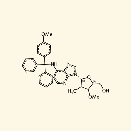 COc1ccc(C(Nc2ncnc3c2ncn3[C@@H]2O[C@H](CO)C(OC)C2C)(c2ccccc2)c2ccccc2)cc1